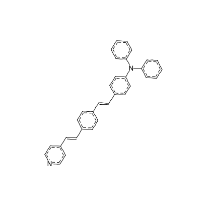 C(=Cc1ccc(C=Cc2ccc(N(c3ccccc3)c3ccccc3)cc2)cc1)c1ccncc1